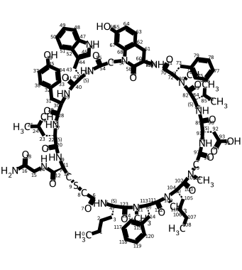 CCCC[C@@H]1NC(=O)CSC[C@@H](C(=O)NCC(N)=O)NC(=O)[C@H](CC(C)C)NC(=O)C(Cc2ccc(O)cc2)NC(=O)[C@H](Cc2c[nH]c3ccccc23)NC(=O)CN2C(=O)[C@H](Cc3ccc(O)cc32)NC(=O)[C@H](Cc2ccccc2)N(C)C(=O)[C@H](C(C)C)NC(=O)[C@H](CC(=O)O)NC(=O)CN(C)C(=O)[C@H](CCCC)N(C)C(=O)[C@H](Cc2ccccc2)N(C)C1=O